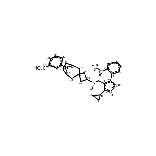 CN(Cc1c(-c2ccccc2OC(F)(F)F)noc1C1CC1)C1CC2(C1)CC1CCC(C2)N1c1cccc(C(=O)O)c1